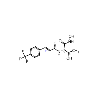 C[C@@H](O)[C@H](NC(=O)/C=C/c1ccc(C(F)(F)F)cc1)C(=O)NO